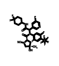 C[C@@]1(O)C[C@H](C(=O)N(c2cc(F)c(S(F)(F)(F)(F)F)cc2F)C(C(=O)NC2CCC(F)(F)CC2)c2cncc(F)c2)N(C#N)C1